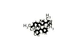 C=C(C)c1ccc2c3ncc(-c4c(C)nnn4C)cc3n(C(c3ccccc3)C3CCOCC3)c2n1